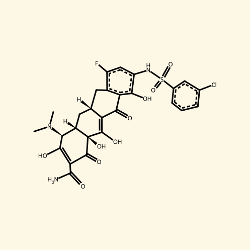 CN(C)[C@@H]1C(O)=C(C(N)=O)C(=O)[C@@]2(O)C(O)=C3C(=O)c4c(O)c(NS(=O)(=O)c5cccc(Cl)c5)cc(F)c4C[C@H]3C[C@@H]12